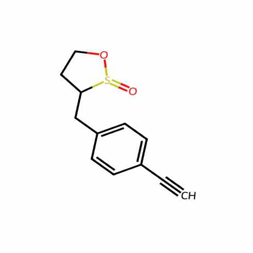 C#Cc1ccc(CC2CCOS2=O)cc1